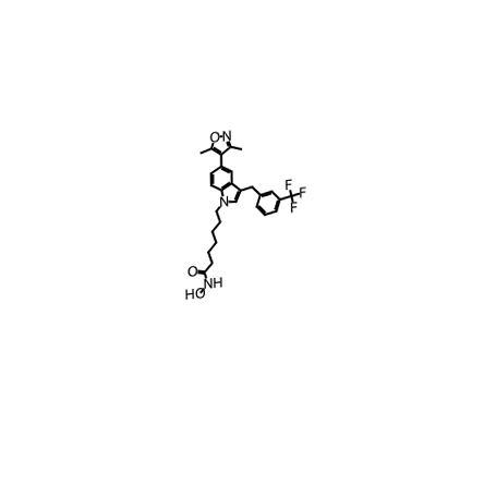 Cc1noc(C)c1-c1ccc2c(c1)c(Cc1cccc(C(F)(F)F)c1)cn2CCCCCCC(=O)NO